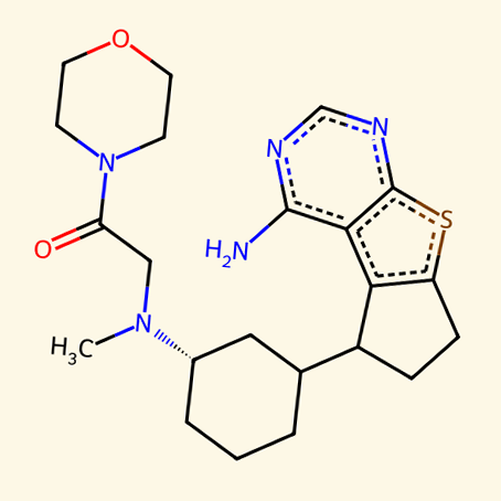 CN(CC(=O)N1CCOCC1)[C@H]1CCCC(C2CCc3sc4ncnc(N)c4c32)C1